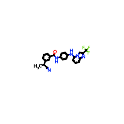 CC(C#N)c1cccc(C(=O)Nc2ccc(Nc3cccc4nc(C(F)(F)F)cn34)cc2)c1